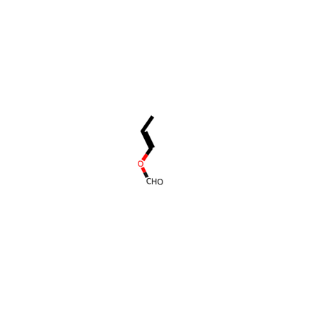 CC=COC=O